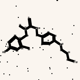 C=C(OCc1ccc(OCCCF)cc1)N(C)Cc1ccc(F)cc1C